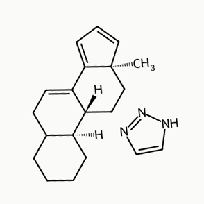 C[C@@]12C=CC=C1C1=CCC3CCCC[C@@H]3[C@H]1CC2.c1c[nH]nn1